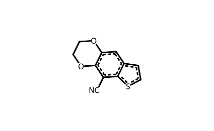 N#Cc1c2c(cc3ccsc13)OCCO2